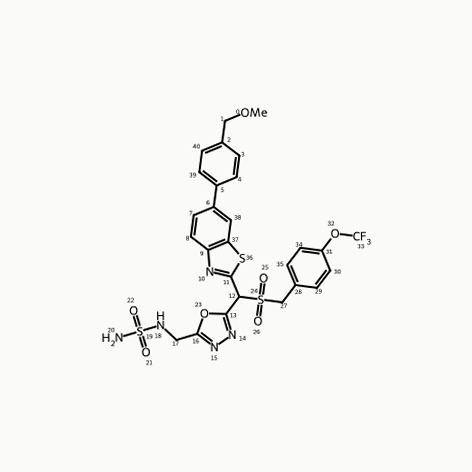 COCc1ccc(-c2ccc3nc(C(c4nnc(CNS(N)(=O)=O)o4)S(=O)(=O)Cc4ccc(OC(F)(F)F)cc4)sc3c2)cc1